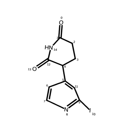 O=C1CCC(c2ccnc(I)c2)C(=O)N1